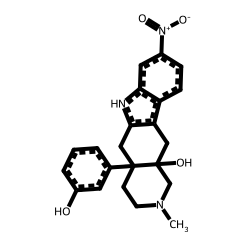 CN1CCC2(c3cccc(O)c3)Cc3[nH]c4cc([N+](=O)[O-])ccc4c3CC2(O)C1